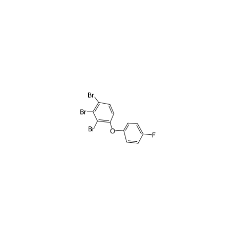 Fc1ccc(Oc2ccc(Br)c(Br)c2Br)cc1